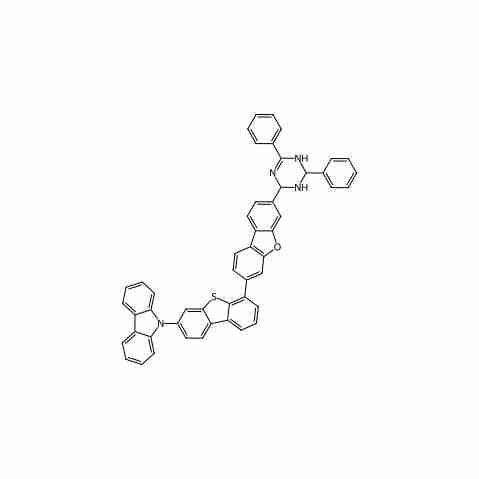 c1ccc(C2=NC(c3ccc4c(c3)oc3cc(-c5cccc6c5sc5cc(-n7c8ccccc8c8ccccc87)ccc56)ccc34)NC(c3ccccc3)N2)cc1